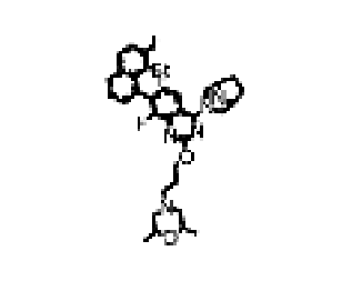 CCc1c(F)ccc2cccc(-c3c(F)cc4c(N5CC6CCC(C5)N6)nc(OCCCN5CC(C)OC(C)C5)nc4c3F)c12